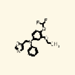 CCOc1cc(N(Cc2cnco2)c2c[c]ccc2)ccc1OC(F)F